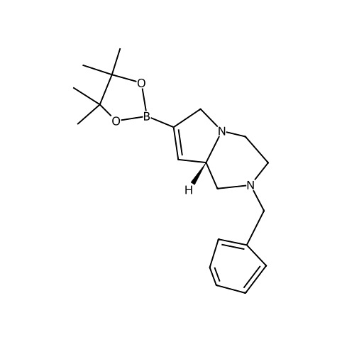 CC1(C)OB(C2=C[C@H]3CN(Cc4ccccc4)CCN3C2)OC1(C)C